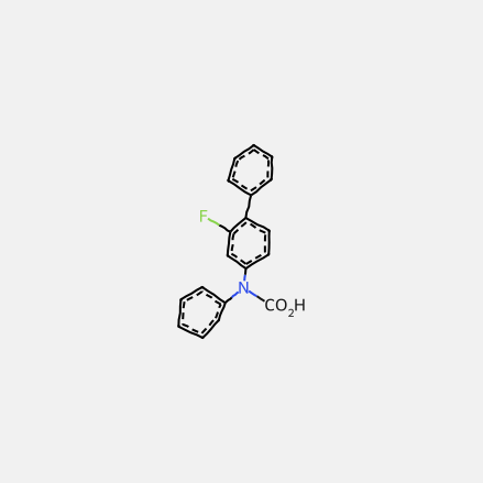 O=C(O)N(c1ccccc1)c1ccc(-c2ccccc2)c(F)c1